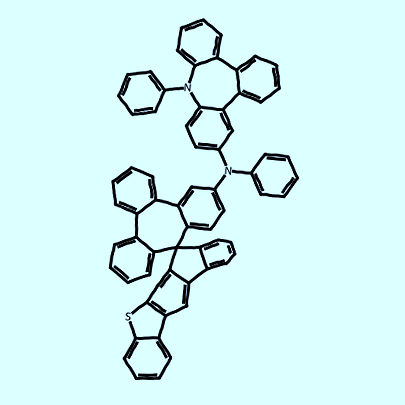 c1ccc(N(c2ccc3c(c2)-c2ccccc2-c2ccccc2N3c2ccccc2)c2ccc3c(c2)-c2ccccc2-c2ccccc2C32c3ccccc3-c3cc4c(cc32)sc2ccccc24)cc1